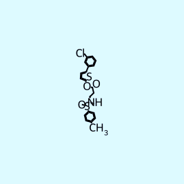 Cc1ccc([S+]([O-])NCCC(=O)Oc2ccc(-c3cccc(Cl)c3)s2)cc1